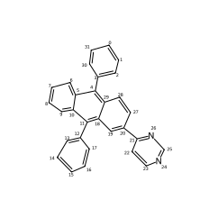 c1ccc(-c2c3ccccc3c(-c3ccccc3)c3cc(-c4ccncn4)ccc23)cc1